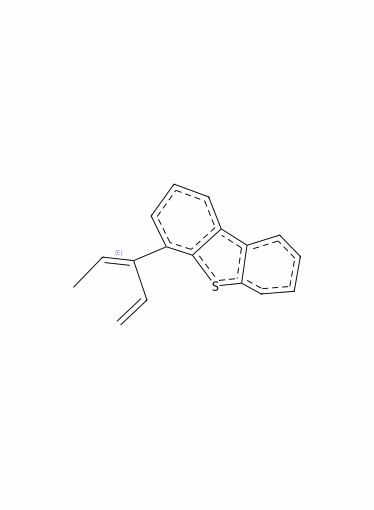 C=C/C(=C\C)c1cccc2c1sc1ccccc12